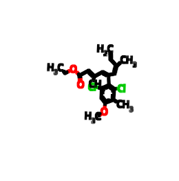 C=CC(C)=CC(=CC(C)=CC(=O)OCC)c1c(Cl)cc(OC)c(C)c1Cl